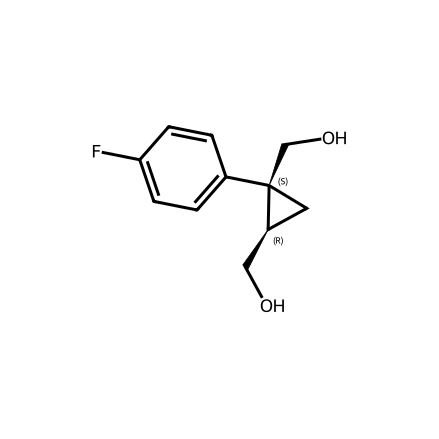 OC[C@@H]1C[C@@]1(CO)c1ccc(F)cc1